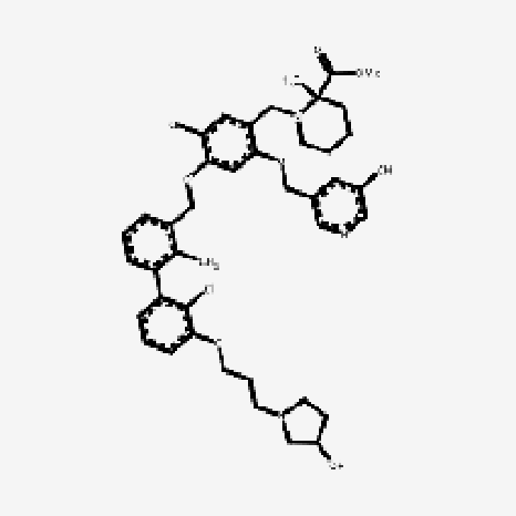 COC(=O)C1(C)CCCCN1Cc1cc(Cl)c(OCc2cccc(-c3cccc(OCCCN4CCC(O)C4)c3Cl)c2C)cc1OCc1cncc(C#N)c1